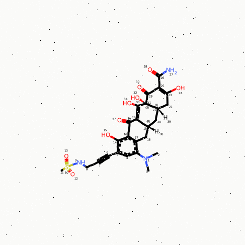 CN(C)c1cc(C#CCNS(C)(=O)=O)c(O)c2c1C[C@H]1C[C@H]3CC(O)=C(C(N)=O)C(=O)[C@@]3(O)C(O)=C1C2=O